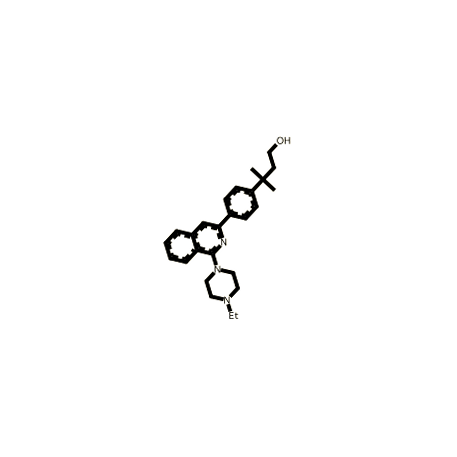 CCN1CCN(c2nc(-c3ccc(C(C)(C)CCO)cc3)cc3ccccc23)CC1